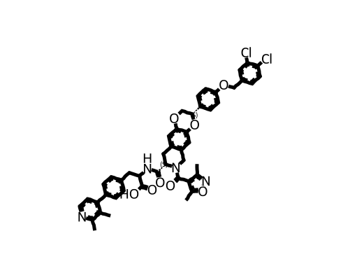 Cc1nccc(-c2ccc(CC(NC(=O)[C@@H]3Cc4cc5c(cc4CN3C(=O)c3c(C)noc3C)O[C@@H](c3ccc(OCc4ccc(Cl)c(Cl)c4)cc3)CO5)C(=O)O)cc2)c1C